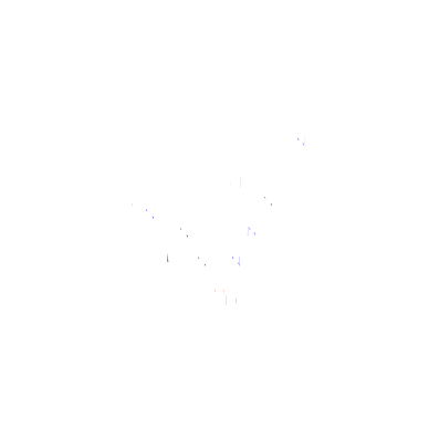 C=CC(=O)N1CCN(c2nc(=O)n(-c3c(CC)cccc3CC)c3nc(N4CCOC(CN(C)C)C4)c(Cl)cc23)[C@@H](C)C1